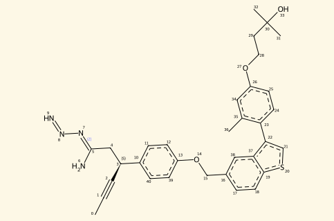 CC#C[C@@H](C/C(N)=N/N=N)c1ccc(OCc2ccc3scc(-c4ccc(OCCC(C)(C)O)cc4C)c3c2)cc1